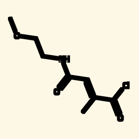 COCCNC(=O)/C=C(\C)C(=O)Cl